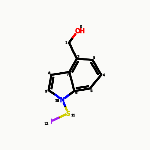 OCc1cccc2c1ccn2SI